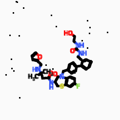 CC(C)(CC(=O)N[C@@H]1CSc2cc(F)ccc2N(Cc2ccc(-c3ccccc3CNC(=O)NCCO)cc2)C1=O)NCc1ccco1